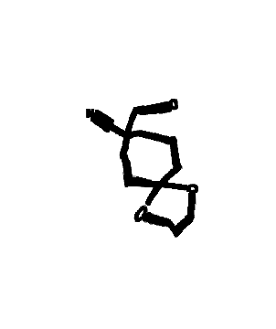 N#CC1(C=O)CCC2(CC1)OCCO2